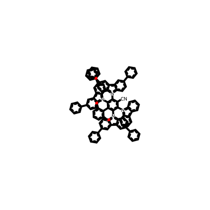 N#Cc1c(-n2c3ccccc3c3ccccc32)c(-n2c3ccc(-c4ccccc4)cc3c3cc(-c4ccccc4)ccc32)c(-c2c(F)cccc2F)c(-n2c3ccc(-c4ccccc4)cc3c3cc(-c4ccccc4)ccc32)c1-n1c2ccc(-c3ccccc3)cc2c2cc(-c3ccccc3)ccc21